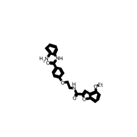 CCOc1cccc2oc(C(=O)NCCOc3ccc(C(=O)Nc4ccccc4N)cc3)cc12